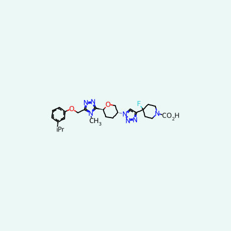 CC(C)c1cccc(OCc2nnc([C@@H]3CC[C@@H](n4cc(C5(F)CCN(C(=O)O)CC5)nn4)CO3)n2C)c1